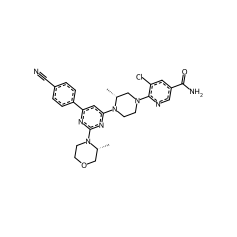 C[C@@H]1CN(c2ncc(C(N)=O)cc2Cl)CCN1c1cc(-c2ccc(C#N)cc2)nc(N2CCOC[C@H]2C)n1